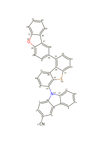 N#Cc1ccc2c(c1)c1ccccc1n2-c1cccc2c1sc1cccc(-c3ccc4oc5ccccc5c4c3)c12